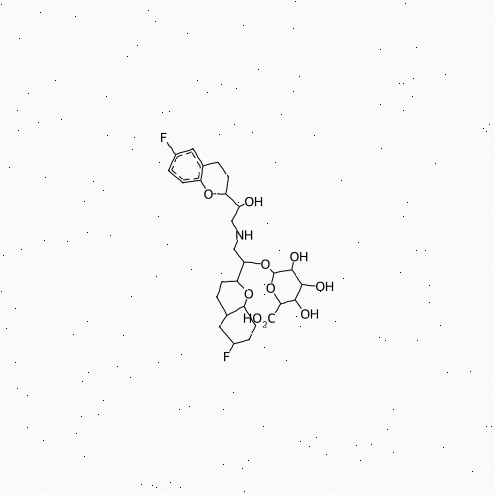 O=C(O)C1OC(OC(CNCC(O)C2CCc3cc(F)ccc3O2)C2CCC3CC(F)CCC3O2)C(O)C(O)C1O